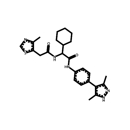 Cc1ncsc1CC(=O)NC(C(=O)Nc1ccc(-c2c(C)n[nH]c2C)cc1)C1CCCCC1